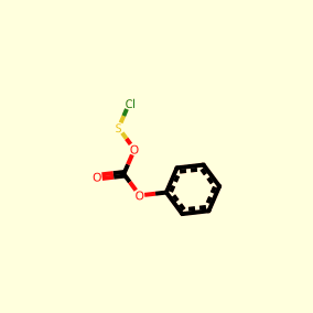 O=C(OSCl)Oc1ccccc1